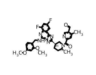 COc1ccc(CNc2nc3c(F)cc(F)cc3c3nc([C@@H]4CC[C@H](C)N(C(=O)c5cc(C)c(C=O)cn5)C4)nn23)c(OC)c1